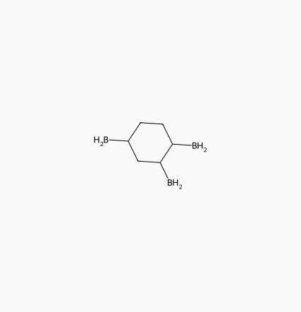 BC1CCC(B)C(B)C1